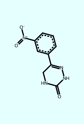 O=C1NCC(c2cccc([N+](=O)[O-])c2)=NN1